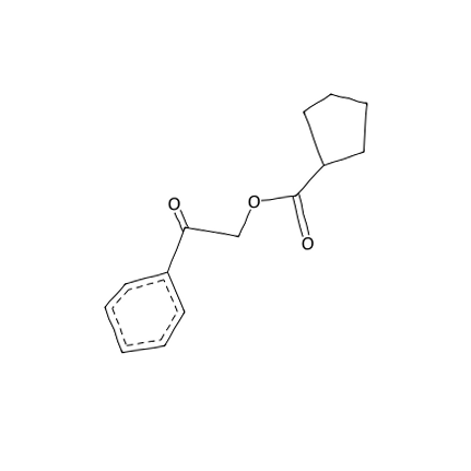 O=C(COC(=O)C1CCCC1)c1ccccc1